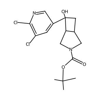 CC(C)(C)OC(=O)N1CC2CC(O)(c3cnc(Cl)c(Cl)c3)C2C1